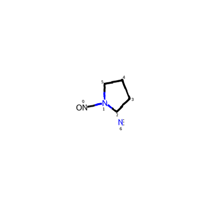 O=NN1CCCC1.[N]